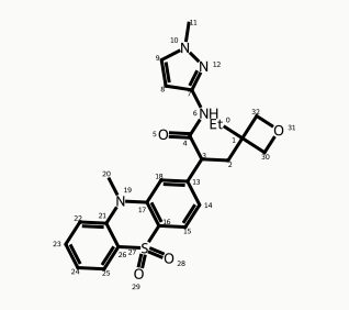 CCC1(CC(C(=O)Nc2ccn(C)n2)c2ccc3c(c2)N(C)c2ccccc2S3(=O)=O)COC1